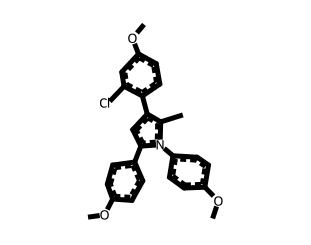 COc1ccc(-c2cc(-c3ccc(OC)cc3Cl)c(C)n2-c2ccc(OC)cc2)cc1